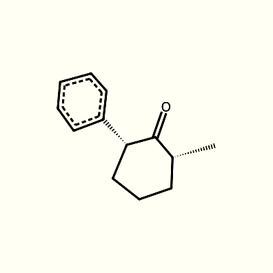 C[C@@H]1CCC[C@H](c2ccccc2)C1=O